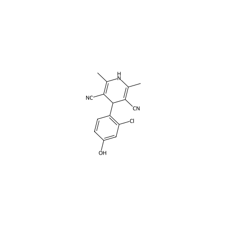 CC1=C(C#N)C(c2ccc(O)cc2Cl)C(C#N)=C(C)N1